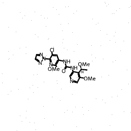 COc1cncc(NC(=O)Nc2cc(Cl)c(-n3nccn3)nc2OC)c1[C@H](C)OC